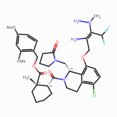 COc1ccc(COC(=O)[C@@]2(C)CCCC[C@H]2C(=O)N2CCc3c(Cl)ccc(OC/C(N)=C(\C(F)F)N(C)N)c3[C@H]2CN2CCCC2=O)c(OC)c1